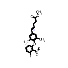 COC(=O)CC/C=C/c1cc(C)c(Oc2cccc(F)c2[N+](=O)[O-])c(C)c1